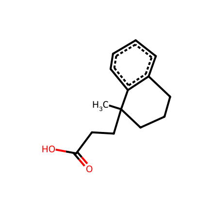 CC1(CCC(=O)O)CCCc2ccccc21